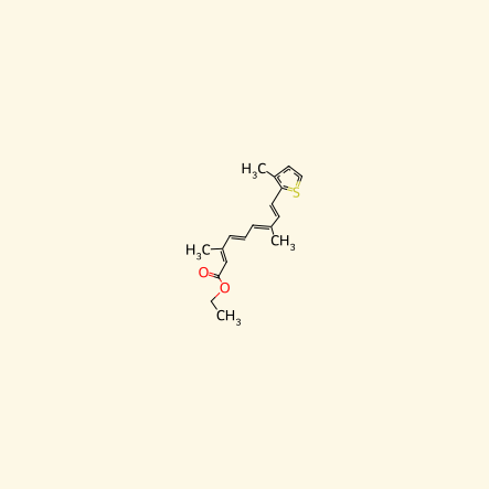 CCOC(=O)C=C(C)C=CC=C(C)C=Cc1sccc1C